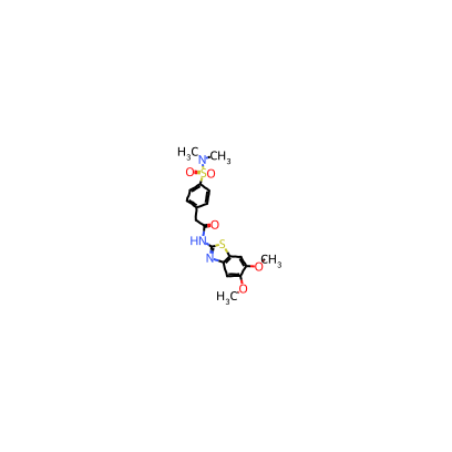 COc1cc2nc(NC(=O)Cc3ccc(S(=O)(=O)N(C)C)cc3)sc2cc1OC